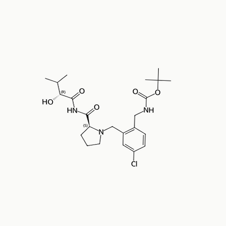 CC(C)[C@@H](O)C(=O)NC(=O)[C@@H]1CCCN1Cc1cc(Cl)ccc1CNC(=O)OC(C)(C)C